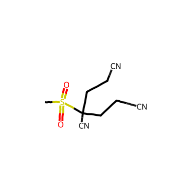 CS(=O)(=O)C(C#N)(CCC#N)CCC#N